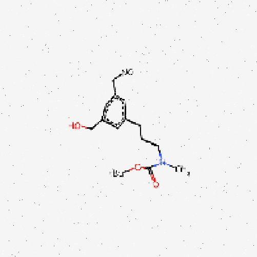 CN(CCCc1cc(CO)cc(CN=O)c1)C(=O)OC(C)(C)C